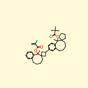 C=C(C)C(=O)OC1(C)c2ccccc2CCCCC12CC(c1ccc3c(c1)CCCCC1(CCCC1)C3(C)OC(=O)C(C)(C)C)C2